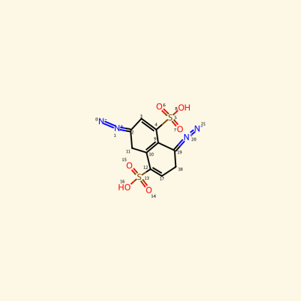 [N-]=[N+]=C1C=C(S(=O)(=O)O)C2=C(C1)C(S(=O)(=O)O)=CCC2=[N+]=[N-]